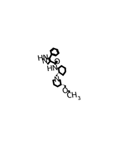 CCOC[C@@H]1CCCN(C[C@H]2CCCC[C@@H]2NC(=O)c2cn[nH]c2-c2ccccc2)C1